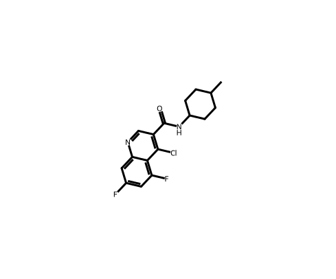 CC1CCC(NC(=O)c2cnc3cc(F)cc(F)c3c2Cl)CC1